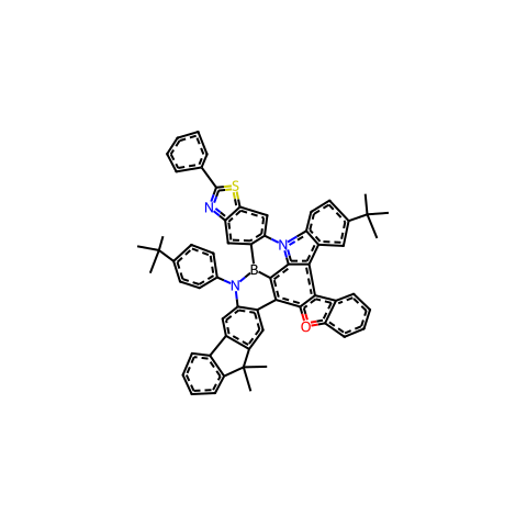 CC(C)(C)c1ccc(N2B3c4cc5nc(-c6ccccc6)sc5cc4-n4c5ccc(C(C)(C)C)cc5c5c6c(oc7ccccc76)c(c3c54)-c3cc4c(cc32)-c2ccccc2C4(C)C)cc1